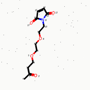 CC(=O)CCOCCOCCN1C(=O)C=CC1=O